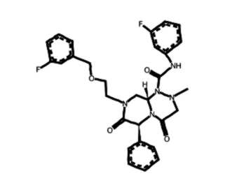 CN1CC(=O)N2[C@@H](c3ccccc3)C(=O)N(CCOCc3cccc(F)c3)C[C@@H]2N1C(=O)Nc1cccc(F)c1